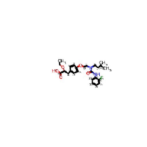 CCOC(Cc1ccc(OCCN(CCC(C)C)C(=O)Nc2ccccc2F)cc1)C(=O)O